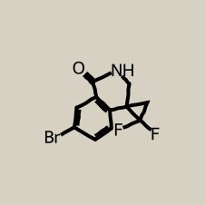 O=C1NCC2(CC2(F)F)c2ccc(Br)cc21